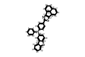 c1ccc(N(c2ccc(-c3nc4c(s3)-c3cccc5cccc-4c35)cc2)c2ccc3sc4ccccc4c3c2)cc1